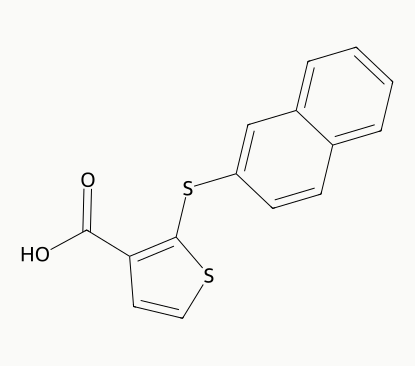 O=C(O)c1ccsc1Sc1ccc2ccccc2c1